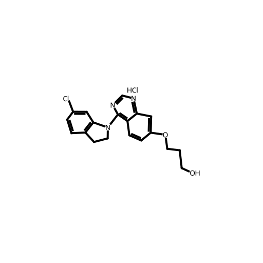 Cl.OCCCOc1ccc2c(N3CCc4ccc(Cl)cc43)ncnc2c1